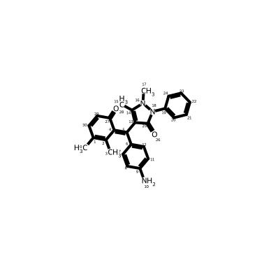 CC1=C(C)C(=C(c2ccc(N)cc2)c2c(C)n(C)n(-c3ccccc3)c2=O)C(=O)C=[C]1